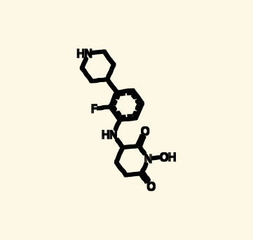 O=C1CCC(Nc2cccc(C3CCNCC3)c2F)C(=O)N1O